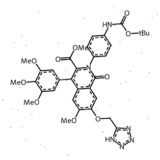 COC(=O)c1c(-c2cc(OC)c(OC)c(OC)c2)c2cc(OC)c(OCc3nnn[nH]3)cc2c(=O)n1-c1ccc(NC(=O)OC(C)(C)C)cc1